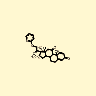 C[C@@H]1CC2C3CCC4=CC(=O)C=CC4(C)C3C(=O)CC2(C)[C@@]1(O)C(=O)CSc1ccccn1